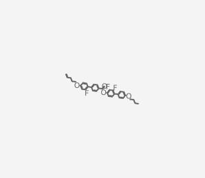 C=CCCCOc1ccc(-c2ccc(C(=O)Oc3ccc(-c4ccc(OCCCC)cc4)c(F)c3F)cc2)c(F)c1